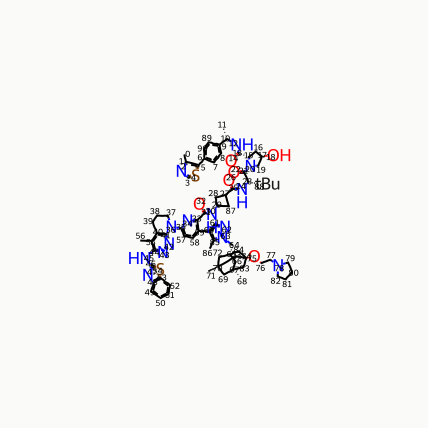 Cc1ncsc1-c1ccc([C@H](C)NC(=O)[C@@H]2C[C@@H](O)CN2C(=O)[C@@H](NC(=O)C2CC(NC(=O)c3nc(N4CCCc5c4nnc(Nc4nc6ccccc6s4)c5C)ccc3-c3cnn(C[C@]45C[C@]6(C)C[C@](C)(C4)C[C@@](OCCN4CCCC4)(C6)C5)c3C)C2)C(C)(C)C)cc1